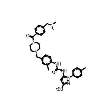 Cc1ccc(-n2nc(C(C)(C)C)cc2NC(=O)Nc2ccc(CN3CCN(C(=O)c4ccc(CN(C)C)cc4)CC3)cc2C)cc1